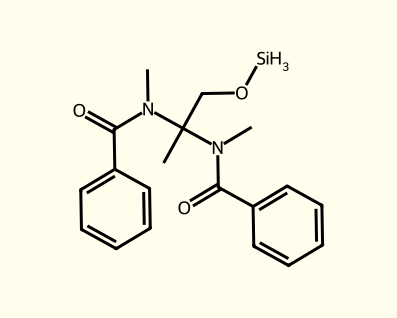 CN(C(=O)c1ccccc1)C(C)(CO[SiH3])N(C)C(=O)c1ccccc1